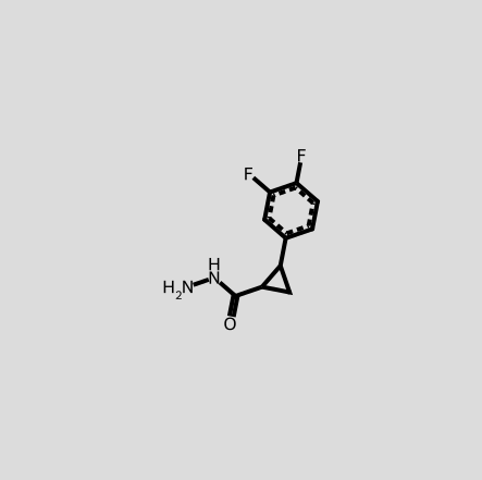 NNC(=O)C1CC1c1ccc(F)c(F)c1